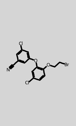 N#Cc1cc(Cl)cc(Oc2cc(Cl)ccc2OCCBr)c1